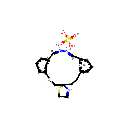 C1=NC2(CCc3cccc(c3)/C=N\N=C\c3cccc(c3)CC2)SC1.O=S(=O)(O)O